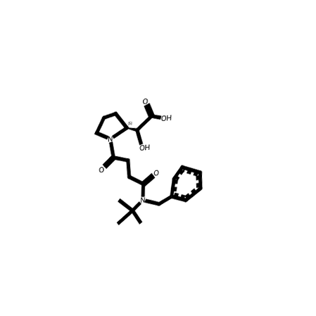 CC(C)(C)N(Cc1ccccc1)C(=O)CCC(=O)N1CCC[C@H]1C(O)C(=O)O